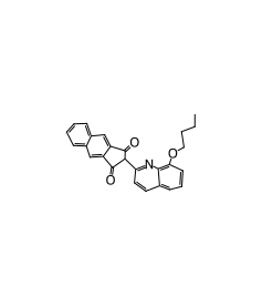 CCCCOc1cccc2ccc(C3C(=O)c4cc5ccccc5cc4C3=O)nc12